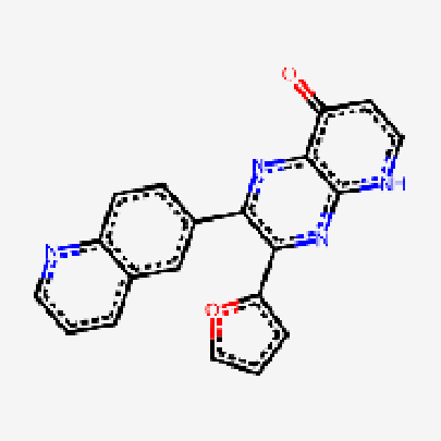 O=c1cc[nH]c2nc(-c3ccco3)c(-c3ccc4ncccc4c3)nc12